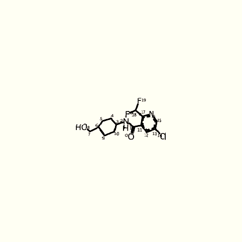 O=C(NC1CCC(CO)CC1)c1cc(Cl)cnc1C(F)F